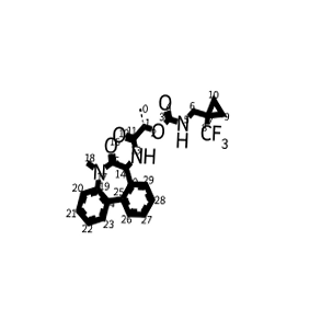 C[C@H](OC(=O)NCC1(C(F)(F)F)CC1)C(=O)NC1C(=O)N(C)c2ccccc2-c2ccccc21